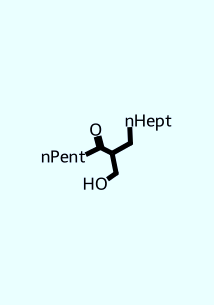 CCCCCCCCC(CO)C(=O)CCCCC